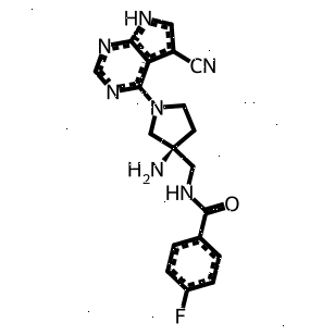 N#Cc1c[nH]c2ncnc(N3CC[C@](N)(CNC(=O)c4ccc(F)cc4)C3)c12